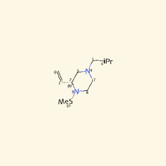 C=C[C@@H]1CN(CC(C)C)CCN1SC